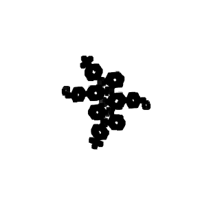 CC(C)(C)c1ccc(B2c3ccccc3N3c4cc(-c5ccc(C=O)cc5)cc5c4B(c4cccc2c43)c2cc(-c3ccc(C=O)cc3)cc3c2N5c2ccccc2B3c2ccc(C(C)(C)C)cc2)cc1